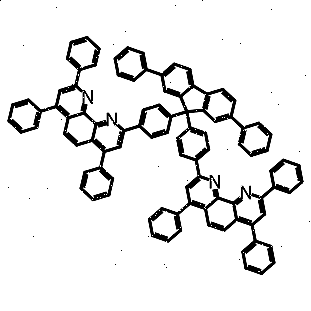 c1ccc(-c2ccc3c(c2)C(c2ccc(-c4cc(-c5ccccc5)c5ccc6c(-c7ccccc7)cc(-c7ccccc7)nc6c5n4)cc2)(c2ccc(-c4cc(-c5ccccc5)c5ccc6c(-c7ccccc7)cc(-c7ccccc7)nc6c5n4)cc2)c2cc(-c4ccccc4)ccc2-3)cc1